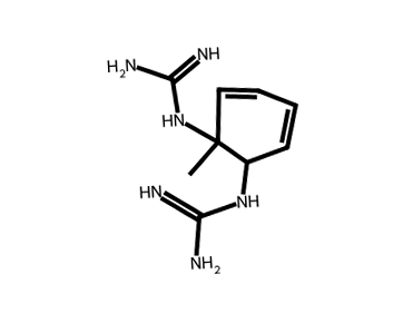 CC1(NC(=N)N)C=CC=CC1NC(=N)N